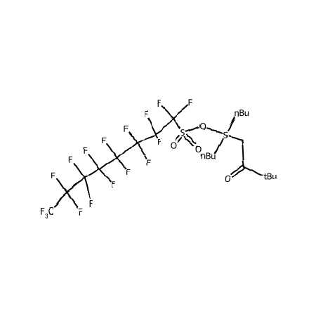 CCCCS(CCCC)(CC(=O)C(C)(C)C)OS(=O)(=O)C(F)(F)C(F)(F)C(F)(F)C(F)(F)C(F)(F)C(F)(F)C(F)(F)C(F)(F)F